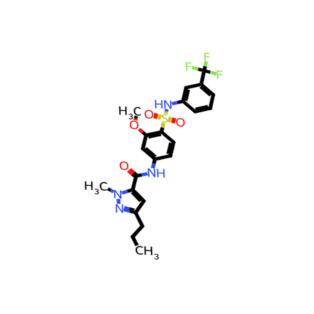 CCCc1cc(C(=O)Nc2ccc(S(=O)(=O)Nc3cccc(C(F)(F)F)c3)c(OC)c2)n(C)n1